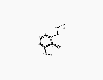 O=c1c([N+](=O)[O-])cccn1CCBr